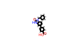 O=C(O)c1ccc(-c2ccc3c(c2)[nH]c(=O)n3CC2CCCCC2)cc1